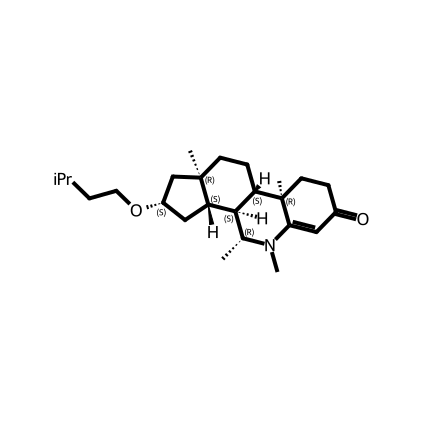 CC(C)CCO[C@H]1C[C@H]2[C@@H]3[C@@H](C)N(C)C4=CC(=O)CC[C@]4(C)[C@H]3CC[C@]2(C)C1